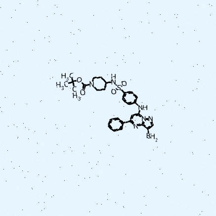 Bc1cnn2c(Nc3ccc(S(=O)(=O)NC4CCN(C(=O)OC(C)(C)C)CC4)cc3)cc(-c3ccccc3)nc12